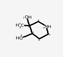 CC1(O)CNCCC1O